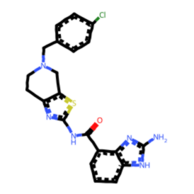 Nc1nc2c(C(=O)Nc3nc4c(s3)CN(Cc3ccc(Cl)cc3)CC4)cccc2[nH]1